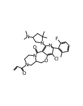 C=CC(=O)N1CCN2C(=O)c3c(N4CC(N(C)C)CC4(C)C)nc(-c4c(C)cccc4F)c(Cl)c3OCC2C1